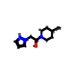 CC(C)C1CCN(C(=O)Cn2cccn2)CC1